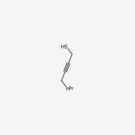 CCCCC#CCS